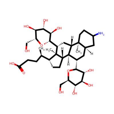 C[C@H](CCC(=O)O)[C@H]1CC[C@H]2[C@@H]3[C@@H](C4O[C@H](CO)[C@@H](O)[C@H](O)[C@H]4O)C[C@@H]4CC(N)CC[C@]4(C)[C@H]3C[C@@H]([C@@H]3O[C@H](CO)[C@@H](O)[C@H](O)[C@H]3O)[C@]12C